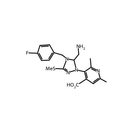 CSC1=NN(c2c(C(=O)O)cc(C)nc2C)C(CN)N1Cc1ccc(F)cc1